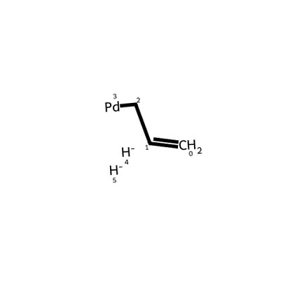 C=C[CH2][Pd].[H-].[H-]